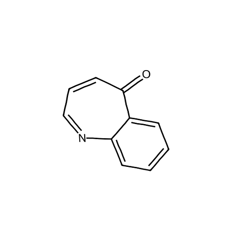 O=c1cccnc2ccccc12